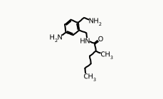 CCCCC(C)C(=O)NCc1cc(N)ccc1CN